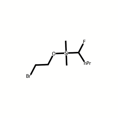 CCCC(F)[Si](C)(C)OCCBr